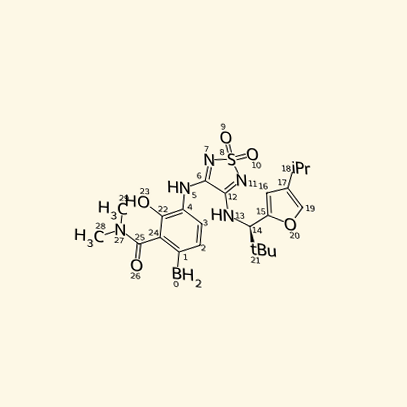 Bc1ccc(NC2=NS(=O)(=O)N=C2N[C@@H](c2cc(C(C)C)co2)C(C)(C)C)c(O)c1C(=O)N(C)C